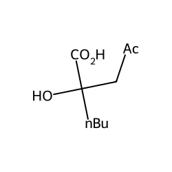 CCCCC(O)(CC(C)=O)C(=O)O